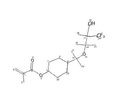 C=C(C)C(=O)OC1CCC(C(C)(C)OC(C)(C)C(C)(O)C(F)(F)F)CC1